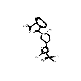 COC(=O)c1ccccc1C(=O)N1C[C@H](c2nc(C(C)(C)O)c(C)o2)CC[C@H]1C